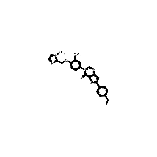 COc1cc(-n2cnc3cc(-c4ccc(CI)cc4)sc3c2=O)ccc1OCc1nccn1C